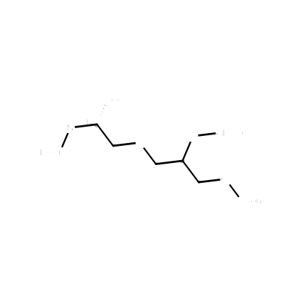 CCCCCN[C@@H](CSCC(COCCCCC)OCCCCC)C(=O)O